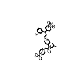 COC(=O)N1CCN(CC(=O)N(CC(C)C)C2CCN(CC[C@@H](c3cccc(F)c3)C3CCN(S(C)(=O)=O)CC3)CC2)CC1